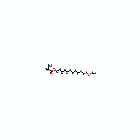 C=COCCCCCCCCCCCCOC(=O)C(=C)CC